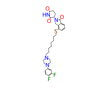 O=C1CCC(N2Cc3c(SCCCCCCCCN4CCN(c5ccc(F)c(F)c5)CC4)cccc3C2=O)C(=O)N1